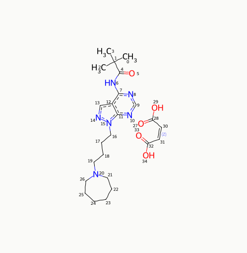 CC(C)(C)C(=O)Nc1ncnc2c1cnn2CCCCN1CCCCCC1.O=C(O)/C=C\C(=O)O